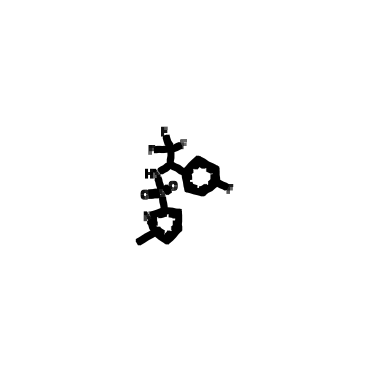 Cc1cccc(S(=O)(=O)NC(c2ccc(F)cc2)C(F)(F)F)n1